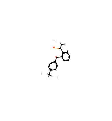 Cc1cccc(C(=O)c2ccc(C(C)(C)C)cc2)c1C(P=O)C(C)C